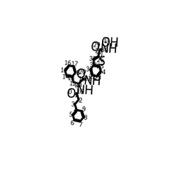 O=C(CCc1ccccc1)N[C@@H](Cc1ccccc1)C(=O)Nc1ccc2sc(C(=O)NO)cc2c1